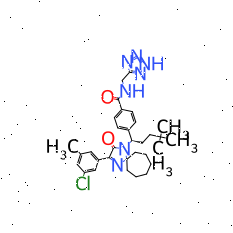 Cc1cc(Cl)cc(C2=NC3(CCCCCC3)N([C@H](CCC(C)(C)C)c3ccc(C(=O)NCc4nn[nH]n4)cc3)C2=O)c1